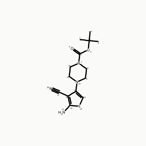 CC(C)(C)OC(=O)N1CCN(c2csc(N)c2C#N)CC1